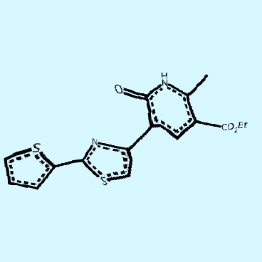 CCOC(=O)c1cc(-c2csc(-c3cccs3)n2)c(=O)[nH]c1C